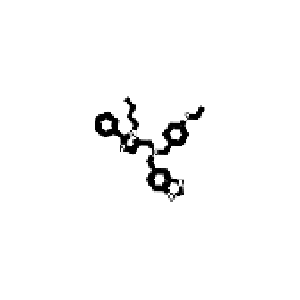 CCCCn1c(CN(Cc2ccc(SCC)cc2)Cc2ccc3c(c2)OCO3)cnc1-c1ccccc1